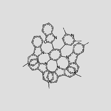 Cc1ccc2c(c1)c1ccccc1n2-c1c(-c2cc(C)nc(C)c2)c(-c2nc3ccccc3o2)c(-n2c3ccccc3c3cc(C)ccc32)c(-n2c3ccccc3c3cc(C)ccc32)c1-n1c2ccccc2c2cc(C)ccc21